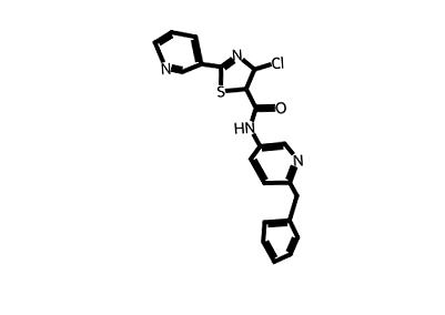 O=C(Nc1ccc(Cc2ccccc2)nc1)C1SC(c2cccnc2)=NC1Cl